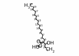 C=CC(O)C(CCCCCCCCCCCCCCCC)C(=O)OO